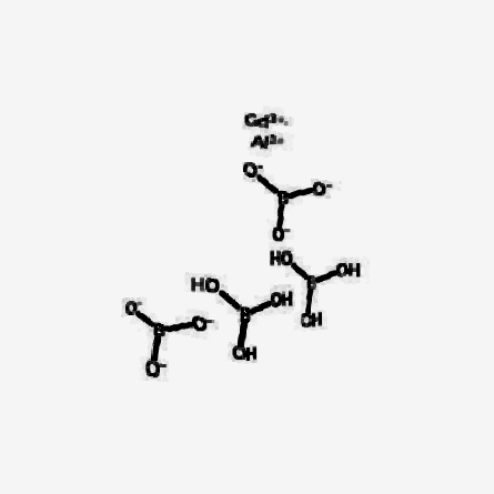 OB(O)O.OB(O)O.[Al+3].[Gd+3].[O-]B([O-])[O-].[O-]B([O-])[O-]